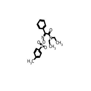 CCN(CC)C(=O)C(=NOS(=O)(=O)c1ccc(C)cc1)c1ccccc1